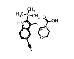 C[Si](C)(C)c1[nH]c2ccc(C#N)cc2c1C[C@H]1COCCN1C(=O)O